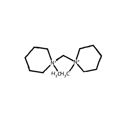 C[N+]1(C[N+]2(C)CCCCC2)CCCCC1